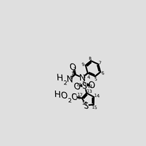 NC(=O)N(c1ccccc1)S(=O)(=O)c1ccsc1C(=O)O